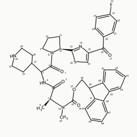 C[C@@H](C(=O)NC(C(=O)N1CCC[C@H]1c1nc(C(=O)c2ccc(F)cc2)cs1)C1CCNCC1)N(C)C(=O)OCC1c2ccccc2-c2ccccc21